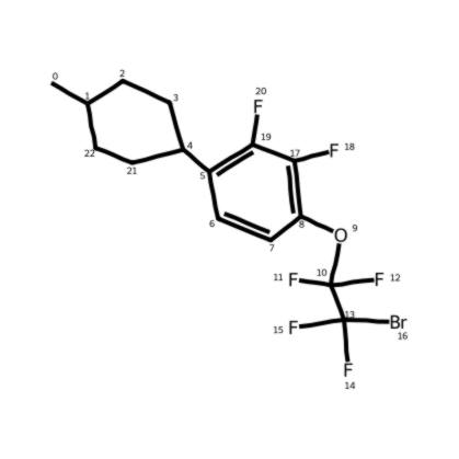 CC1CCC(c2ccc(OC(F)(F)C(F)(F)Br)c(F)c2F)CC1